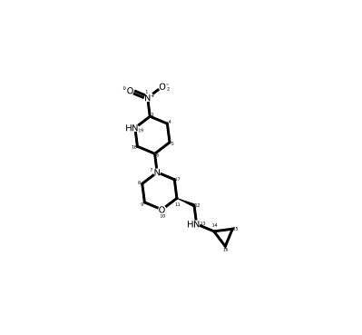 O=[N+]([O-])C1CCC(N2CCO[C@H](CNC3CC3)C2)CN1